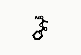 CC(=O)OC(C)OC(=O)N1CCCCC1